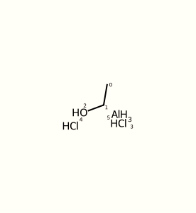 CCO.Cl.Cl.[AlH3]